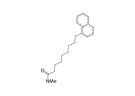 CNC(=O)CCCCCC[CH]Cc1cccc2ccccc12